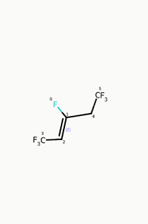 F/C(=C\C(F)(F)F)CC(F)(F)F